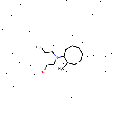 CCCN(CCO)C1CCCCCCC1C